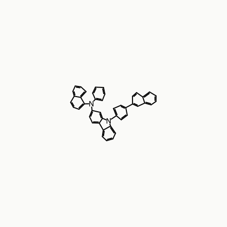 c1ccc(N(c2ccc3c4ccccc4n(-c4ccc(-c5ccc6ccccc6c5)cc4)c3c2)c2cccc3ccccc23)cc1